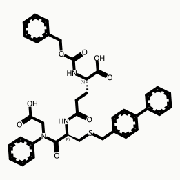 O=C(O)CN(C(=O)[C@H](CSCc1ccc(-c2ccccc2)cc1)NC(=O)CC[C@H](NC(=O)OCc1ccccc1)C(=O)O)c1ccccc1